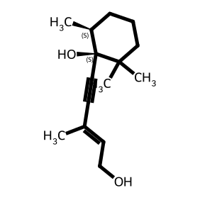 CC(C#C[C@]1(O)[C@@H](C)CCCC1(C)C)=CCO